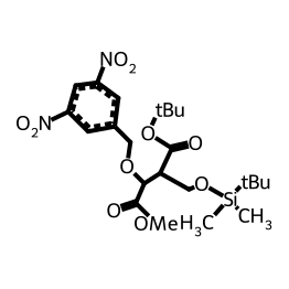 COC(=O)C(OCc1cc([N+](=O)[O-])cc([N+](=O)[O-])c1)C(CO[Si](C)(C)C(C)(C)C)C(=O)OC(C)(C)C